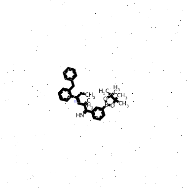 C=C(/C=C(\CC)c1ccccc1Cc1ccccc1)C(=N)c1cccc(B2OC(C)(C)C(C)(C)O2)c1